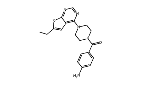 CCc1cc2c(N3CCN(C(=O)c4ccc(N)cc4)CC3)ncnc2s1